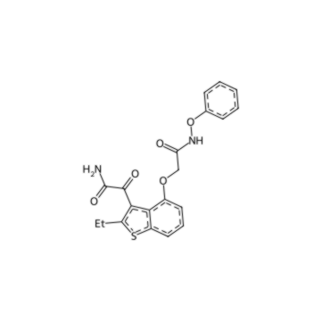 CCc1sc2cccc(OCC(=O)NOc3ccccc3)c2c1C(=O)C(N)=O